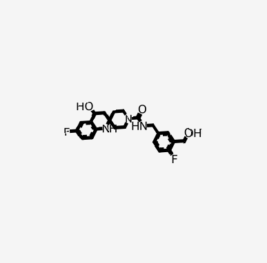 O=C(NCc1ccc(F)c(CO)c1)N1CCC2(CC1)CC(O)c1cc(F)ccc1N2